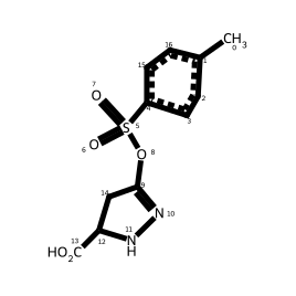 Cc1ccc(S(=O)(=O)OC2=NNC(C(=O)O)C2)cc1